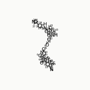 COc1nc(OCCOCCOCC(=O)NC(C(=O)N2CCC[C@H]2C(=O)NCc2ccc(-c3scnc3C)cc2)C(C)(C)C)ccc1N1C(=S)N(c2ccc(C#N)c(C(F)(F)F)c2F)C(=O)C1(C)C